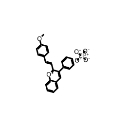 COc1ccc(C=Cc2[o+]c3ccccc3cc2-c2ccccc2)cc1.[O-][Cl+3]([O-])([O-])[O-]